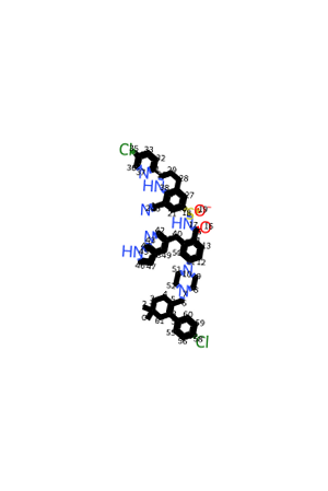 CC1(C)CCC(CN2CCN(c3ccc(C(=O)N[S+]([O-])c4cc(C#N)c5c(c4)CC[C@H](c4ccc(Cl)cn4)N5)c(Cc4cnc5[nH]ccc5c4)c3)CC2)=C(c2ccc(Cl)cc2)C1